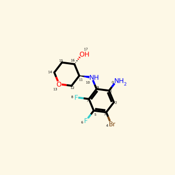 Nc1cc(Br)c(F)c(F)c1N[C@H]1COCC[C@@H]1O